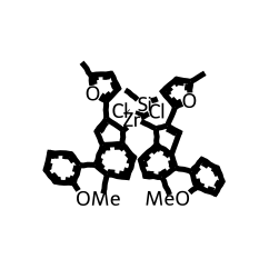 COc1ccccc1-c1c(C)ccc2c1C=C(c1ccc(C)o1)[CH]2[Zr]([Cl])([Cl])([CH]1C(c2ccc(C)o2)=Cc2c1ccc(C)c2-c1ccccc1OC)=[Si](C)C